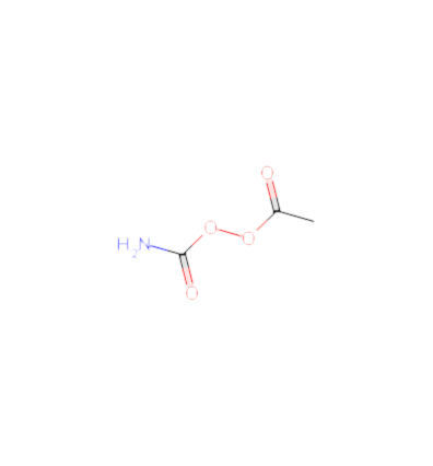 CC(=O)OOC(N)=O